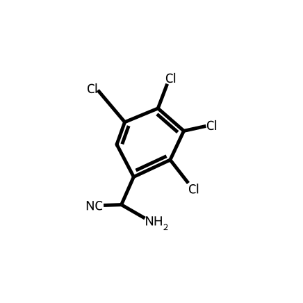 N#CC(N)c1cc(Cl)c(Cl)c(Cl)c1Cl